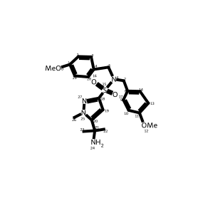 COc1ccc(CN(Cc2ccc(OC)cc2)S(=O)(=O)c2cc(C(C)(C)N)n(C)n2)cc1